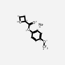 O=C(Oc1ccc(OC(F)(F)F)cc1)C1CCO1.[Na]